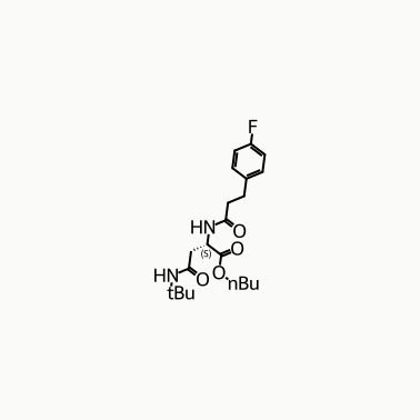 CCCCOC(=O)[C@H](CC(=O)NC(C)(C)C)NC(=O)CCc1ccc(F)cc1